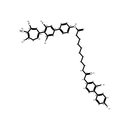 C=C(CCCCCCCCCC(=O)Cc1ccc(-c2ccc(F)cc2)c(F)c1)Oc1ccc(-c2cc(F)c(C3=CCC(F)=C(C#N)C(F)=C3)c(F)c2)cc1